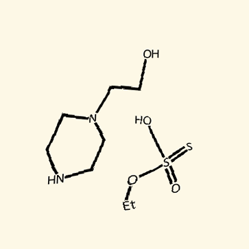 CCOS(=O)(O)=S.OCCN1CCNCC1